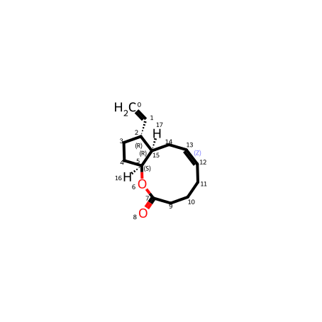 C=C[C@H]1CC[C@@H]2OC(=O)CCC/C=C\C[C@@H]21